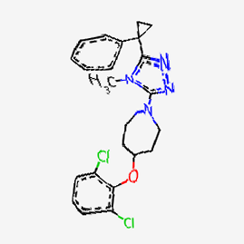 Cn1c(N2CCC(Oc3c(Cl)cccc3Cl)CC2)nnc1C1(c2ccccc2)CC1